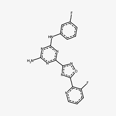 Nc1nc(Nc2cccc(F)c2)nc(-c2noc(-c3ncccc3F)n2)n1